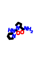 NC(=O)C1CCCN1C(=O)Nc1ccccn1